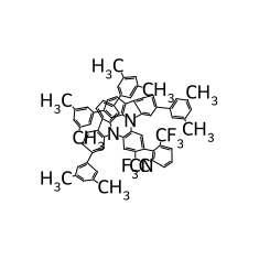 Cc1cc(C)cc(-c2ccc3c4ccc(-c5cc(C)cc(C)c5)cc4n(-c4cc(C#N)c(-c5c(C(F)(F)F)cccc5C(F)(F)F)cc4-n4c5cc(-c6cc(C)cc(C)c6)ccc5c5ccc(-c6cc(C)cc(C)c6)cc54)c3c2)c1